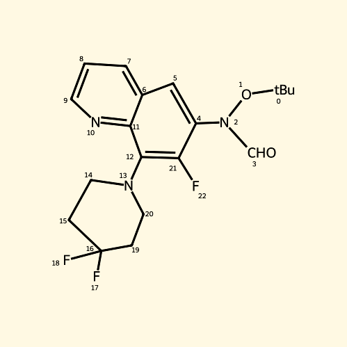 CC(C)(C)ON(C=O)c1cc2cccnc2c(N2CCC(F)(F)CC2)c1F